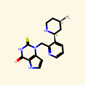 O=c1[nH]c(=S)n(Cc2ncccc2[C@@H]2C[C@H](C(F)(F)F)CCN2)c2cc[nH]c12